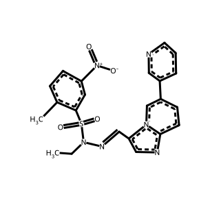 CCN(/N=C/c1cnc2ccc(-c3cccnc3)cn12)S(=O)(=O)c1cc([N+](=O)[O-])ccc1C